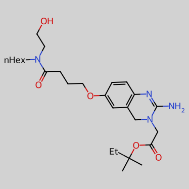 CCCCCCN(CCO)C(=O)CCCOc1ccc2c(c1)CN(CC(=O)OC(C)(C)CC)C(N)=N2